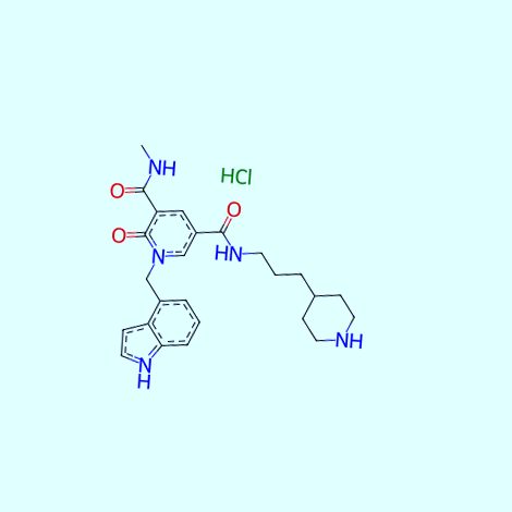 CNC(=O)c1cc(C(=O)NCCCC2CCNCC2)cn(Cc2cccc3[nH]ccc23)c1=O.Cl